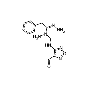 N/N=C(/Cc1ccccc1)N(N)CNc1nonc1C=O